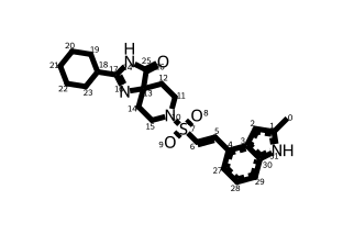 Cc1cc2c(/C=C/S(=O)(=O)N3CCC4(CC3)N=C(C3CCCCC3)NC4=O)cccc2[nH]1